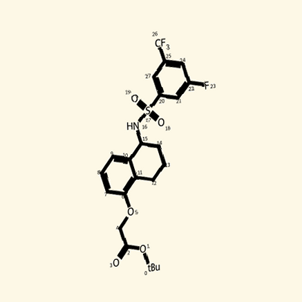 CC(C)(C)OC(=O)COc1cccc2c1CCCC2NS(=O)(=O)c1cc(F)cc(C(F)(F)F)c1